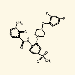 Cn1cccc(C(=O)Nc2ccc(S(C)(=O)=O)cc2N2CCC(Oc3ccc(F)cc3F)CC2)c1=O